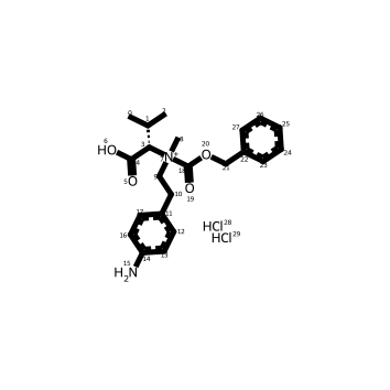 CC(C)[C@@H](C(=O)O)[N+](C)(CCc1ccc(N)cc1)C(=O)OCc1ccccc1.Cl.Cl